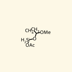 C.COC(C)O[SiH2]OC(C)=O